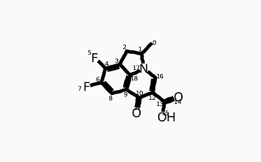 CC1Cc2c(F)c(F)cc3c(=O)c(C(=O)O)cn1c23